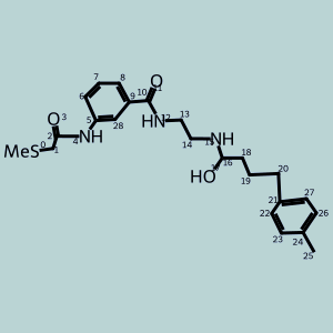 CSCC(=O)Nc1cccc(C(=O)NCCNC(O)CCCc2ccc(C)cc2)c1